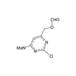 CNc1cc(COC=O)nc(Cl)n1